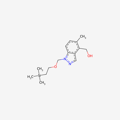 Cc1ccc2c(cnn2COCC[Si](C)(C)C)c1CO